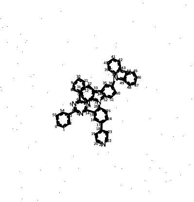 c1ccc(-c2nc(-c3ccccc3)nc(-c3cc(-c4ccncc4)ccc3-n3c4ccccc4c4cc(-n5c6ccccc6c6ccccc65)ccc43)n2)cc1